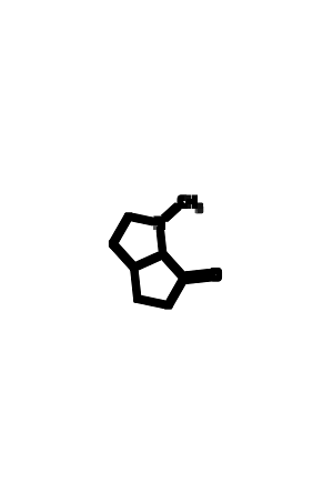 CN1CCC2CCC(=O)C21